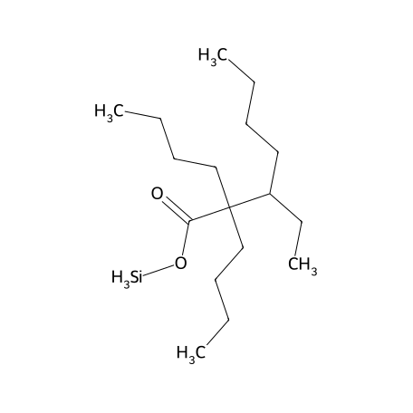 CCCCC(CC)C(CCCC)(CCCC)C(=O)O[SiH3]